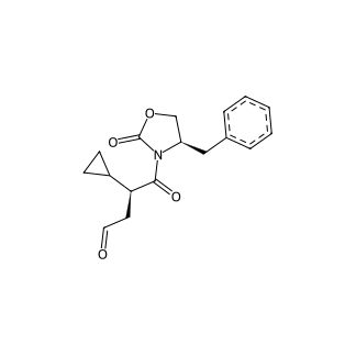 O=CC[C@H](C(=O)N1C(=O)OC[C@H]1Cc1ccccc1)C1CC1